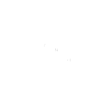 Cc1c(Cl)cnc2c(F)cccc12